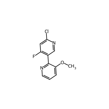 COc1cccnc1-c1cnc(Cl)cc1F